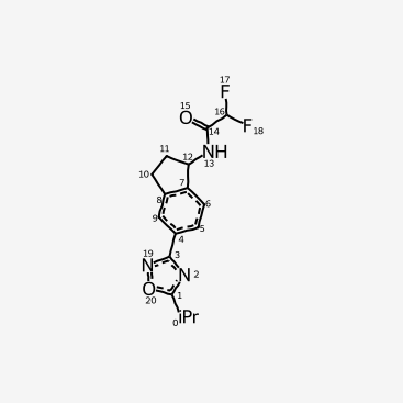 CC(C)c1nc(-c2ccc3c(c2)CCC3NC(=O)C(F)F)no1